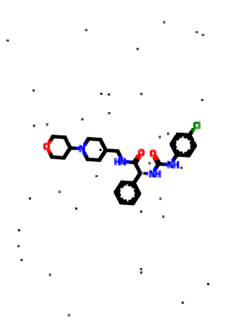 O=C(Nc1ccc(Cl)cc1)N[C@@H](C(=O)NCC1CCN(C2CCOCC2)CC1)c1ccccc1